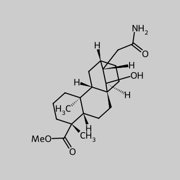 COC(=O)[C@]1(C)CCC[C@@]2(C)[C@@H]3C[C@@H]4CC[C@@]3(CC[C@@H]21)[C@H](O)[C@H]4CC(N)=O